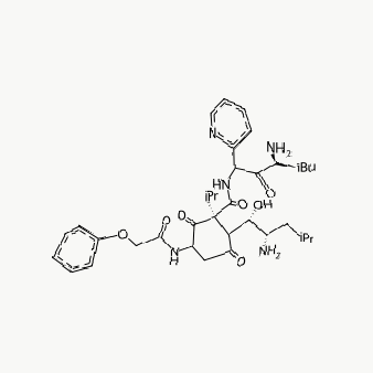 CC[C@H](C)[C@H](N)C(=O)C(NC(=O)[C@]1(C(C)C)C(=O)C(NC(=O)COc2ccccc2)CC(=O)C1[C@H](O)[C@@H](N)CC(C)C)c1ccccn1